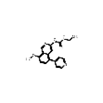 CCNC(=O)Nc1cc2c(-c3ccncc3)ccc(OC)c2cn1